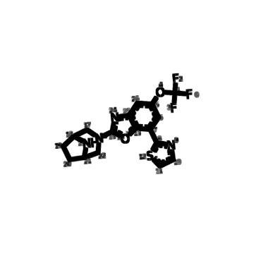 FC(F)(F)Oc1cc(-c2nccs2)c2oc(N3CC4CCC(C3)N4)nc2c1